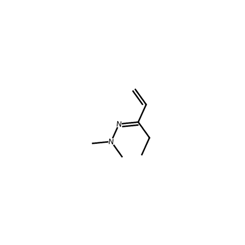 C=CC(CC)=NN(C)C